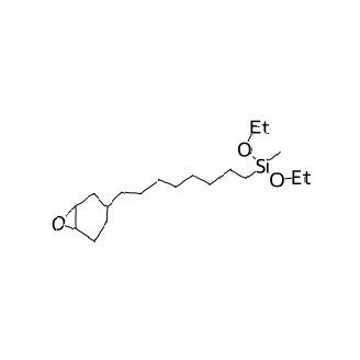 CCO[Si](C)(CCCCCCCCC1CCC2OC2C1)OCC